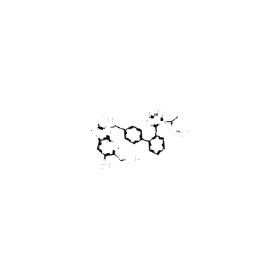 CCCCc1nc2cc(Br)c(CO)nc2n1Cc1ccc(-c2ccccc2-c2nnnn2C(C)OCC)cc1